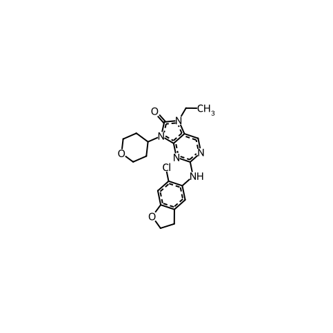 CCn1c(=O)n(C2CCOCC2)c2nc(Nc3cc4c(cc3Cl)OCC4)ncc21